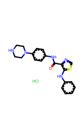 Cl.O=C(Nc1ccc(N2CCNCC2)cc1)c1ncsc1Nc1ccccc1